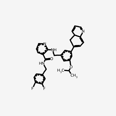 CC(C)Oc1cc(CNc2ncccc2C(=O)NCc2ccc(F)c(F)c2)cc(C2=CC=C3N=CC=CC3C2)c1